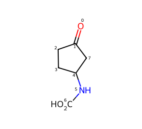 O=C1CCC(NC(=O)O)C1